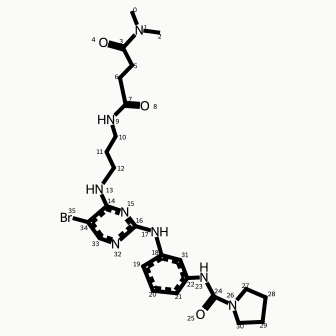 CN(C)C(=O)CCC(=O)NCCCNc1nc(Nc2cccc(NC(=O)N3CCCC3)c2)ncc1Br